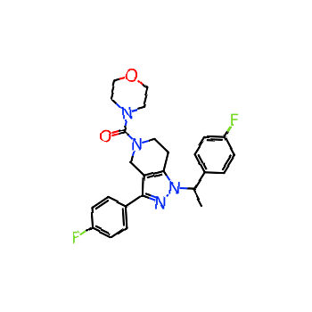 CC(c1ccc(F)cc1)n1nc(-c2ccc(F)cc2)c2c1CCN(C(=O)N1CCOCC1)C2